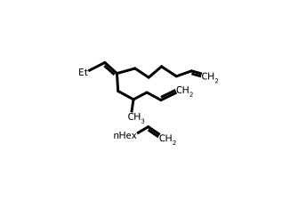 C=CCCCCC(=CCC)CC(C)CC=C.C=CCCCCCC